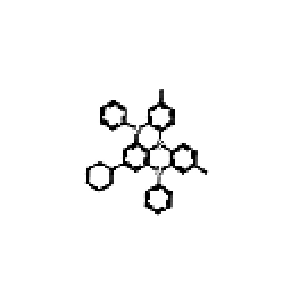 Cc1ccc2c(c1)N(c1ccccc1)c1cc(C3CCCCC3)cc3c1B2c1ccc(C)cc1N3c1ccccc1